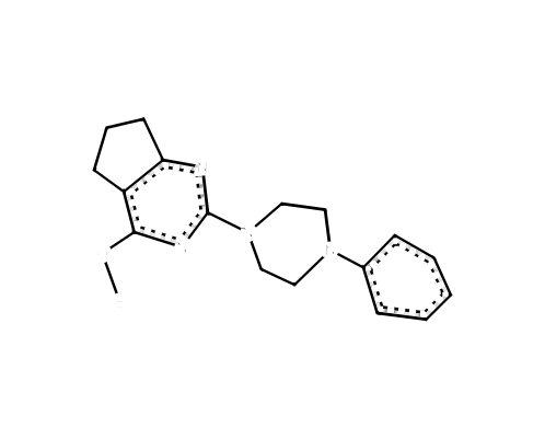 CCOc1nc(N2CCN(c3ccccc3)CC2)nc2c1CCC2